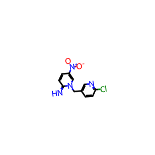 N=c1ccc([N+](=O)[O-])cn1Cc1ccc(Cl)nc1